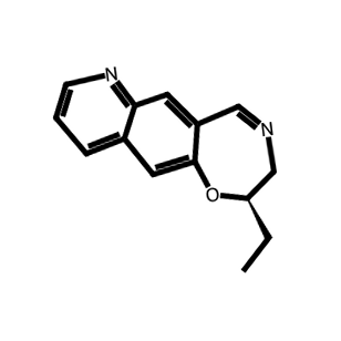 CC[C@@H]1CN=Cc2cc3ncccc3cc2O1